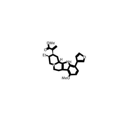 C=C(C(=O)OC)[C@H]1C[C@H]2c3[nH]c4c(-c5ccoc5)ccc(OC)c4c3CCN2C[C@H]1CC